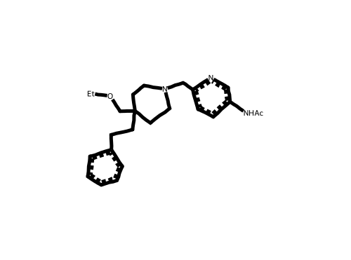 CCOCC1(CCc2ccccc2)CCN(Cc2ccc(NC(C)=O)cn2)CC1